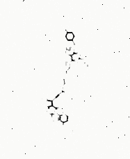 CCCSc1nc(NCCOCCNC(=O)C#Cc2c(C)sc3nc(S)n(-c4cc(C)ccn4)c(=O)c23)c2nnn(Cc3ccc(Cl)cc3)c2n1